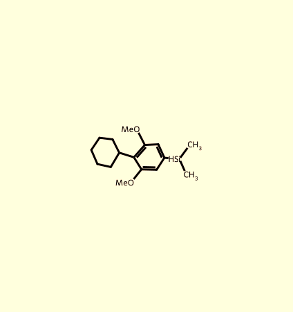 COc1cc([SiH](C)C)cc(OC)c1C1CCCCC1